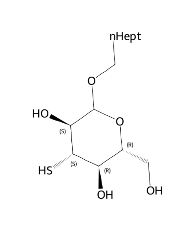 CCCCCCCCOC1O[C@H](CO)[C@@H](O)[C@H](S)[C@H]1O